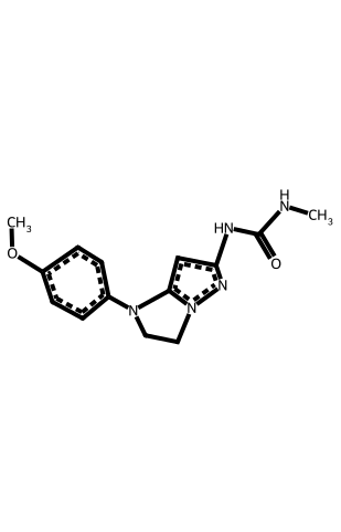 CNC(=O)Nc1cc2n(n1)CCN2c1ccc(OC)cc1